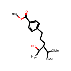 COC(OC)C(CCCc1ccc(C(=O)OC(C)(C)C)cc1)C(C)O